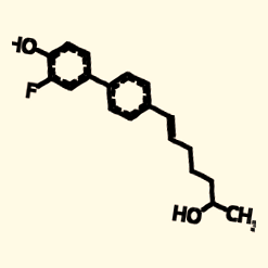 CC(O)CCCC=Cc1ccc(-c2ccc(O)c(F)c2)cc1